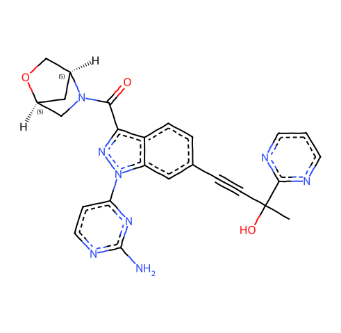 CC(O)(C#Cc1ccc2c(C(=O)N3C[C@@H]4C[C@H]3CO4)nn(-c3ccnc(N)n3)c2c1)c1ncccn1